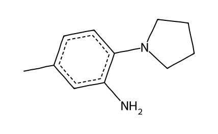 Cc1ccc(N2CCCC2)c(N)c1